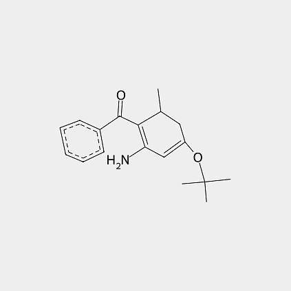 CC1CC(OC(C)(C)C)=CC(N)=C1C(=O)c1ccccc1